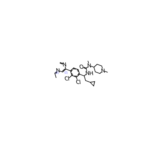 C=N/C(=C\N=C/C)c1ccc(C(CC2CC2)NC(=O)N(C)C2CCN(C)CC2)c(Cl)c1Cl